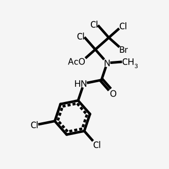 CC(=O)OC(Cl)(N(C)C(=O)Nc1cc(Cl)cc(Cl)c1)C(Cl)(Cl)Br